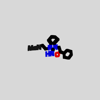 CNCCn1c(=N)n(CC(=O)C2CCCCC2)c2ccccc21